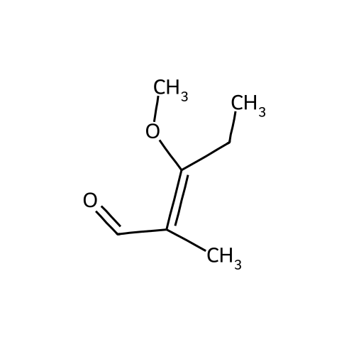 CC/C(OC)=C(\C)C=O